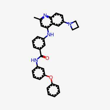 Cc1cc(Nc2cccc(C(=O)Nc3cccc(Oc4ccccc4)c3)c2)c2cc(N3CCC3)ccc2n1